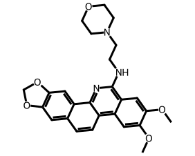 COc1cc2c(NCCN3CCOCC3)nc3c4cc5c(cc4ccc3c2cc1OC)OCO5